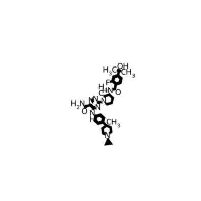 C[C@@H]1[C@H](NC(=O)c2ccc(C(C)(C)O)cc2F)CCCN1c1nnc(C(N)=O)c(Nc2ccc(C3(C)CCN(C4CC4)CC3)cc2)n1